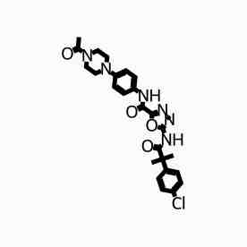 CC(=O)N1CCN(c2ccc(NC(=O)c3nnc(NC(=O)C(C)(C)c4ccc(Cl)cc4)o3)cc2)CC1